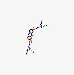 CCCCN(CCCC)CCCOc1ccc2cc3ccc(OCCCN(CCCC)CCCC)cc3nc2c1